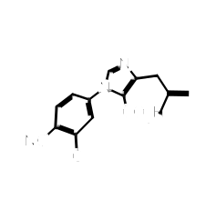 C=C(C)Cc1ncn(-c2ccc(C#N)c(Cl)c2)c1C(=O)O